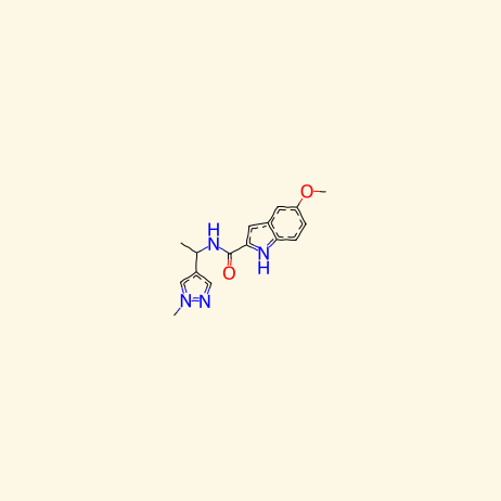 COc1ccc2[nH]c(C(=O)NC(C)c3cnn(C)c3)cc2c1